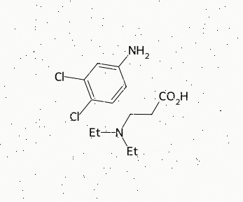 CCN(CC)CCC(=O)O.Nc1ccc(Cl)c(Cl)c1